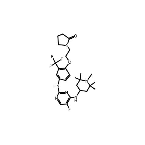 CN1C(C)(C)CC(Nc2nc(Nc3ccc(OCCN4CCCC4=O)c(C(F)(F)F)c3)ncc2F)CC1(C)C